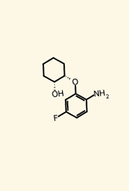 Nc1ccc(F)cc1O[C@H]1CCCC[C@H]1O